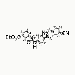 CCOC(=O)c1cccc(S(=O)(=O)Nc2ccc3c(c2)nc(Cc2ccc(C#N)cc2)n3C)c1